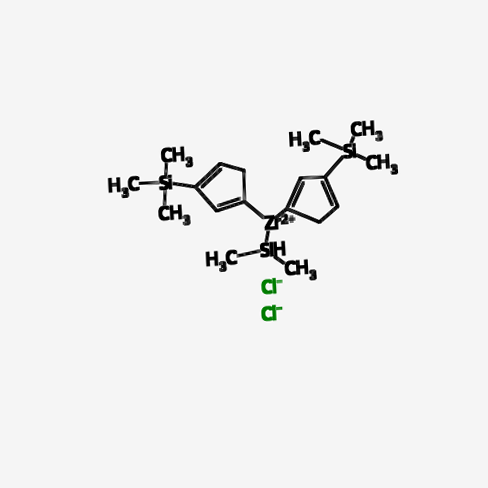 C[SiH](C)[Zr+2]([C]1=CC([Si](C)(C)C)=CC1)[C]1=CC([Si](C)(C)C)=CC1.[Cl-].[Cl-]